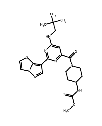 COC(=O)NC1CCN(C(=O)c2cc(NCC(C)(C)C)nc(-c3cnn4ccsc34)n2)CC1